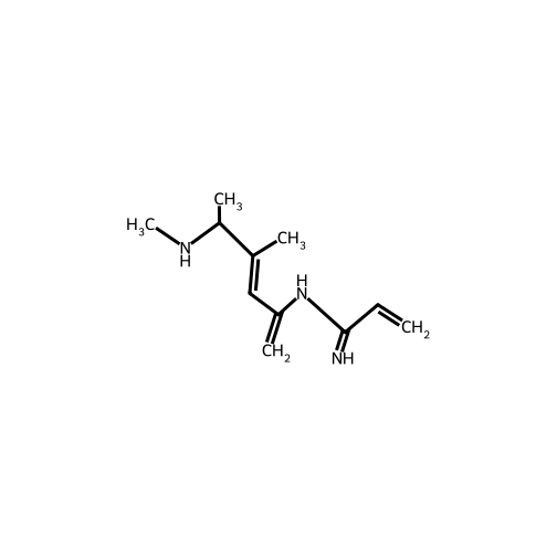 C=CC(=N)NC(=C)/C=C(\C)C(C)NC